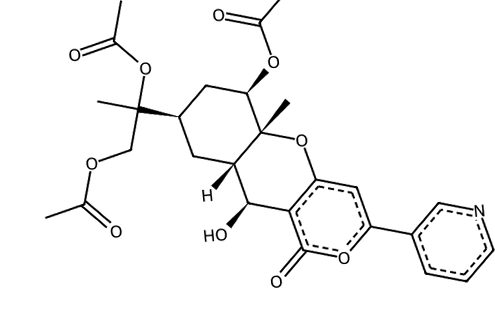 CC(=O)OCC(C)(OC(C)=O)[C@H]1C[C@@H](OC(C)=O)[C@]2(C)Oc3cc(-c4cccnc4)oc(=O)c3[C@@H](O)[C@@H]2C1